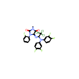 CN1C(=O)C(=NC(N(c2ccc(F)c(F)c2)c2ccc(F)c(F)c2)C(Cl)(Cl)Cl)N(c2ccccc2F)C1=O